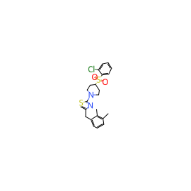 Cc1cccc(Cc2csc(N3CCC(S(=O)(=O)c4ccccc4Cl)CC3)n2)c1C